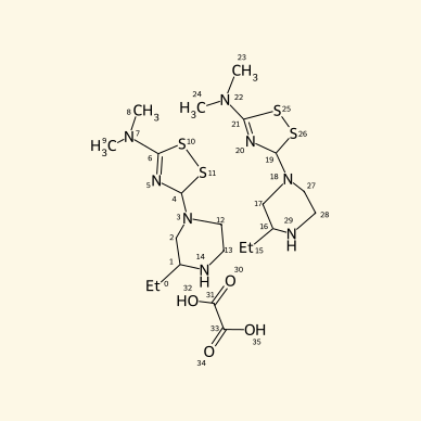 CCC1CN(C2N=C(N(C)C)SS2)CCN1.CCC1CN(C2N=C(N(C)C)SS2)CCN1.O=C(O)C(=O)O